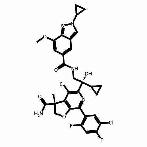 COc1cc(C(=O)NC[C@](O)(c2nc(-c3cc(Cl)c(F)cc3F)c3c(c2Cl)[C@@](C)(C(N)=O)CO3)C2CC2)cc2cn(C3CC3)nc12